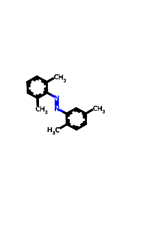 Cc1ccc(C)c(N=Nc2c(C)cccc2C)c1